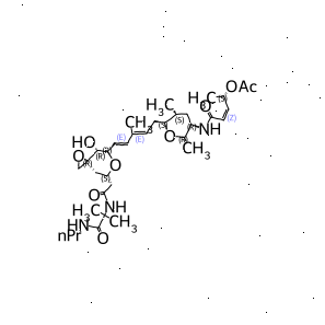 CCCNC(=O)C(C)(C)NC(=O)C[C@@H]1C[C@@]2(CO2)[C@H](O)[C@@H](/C=C/C(C)=C/C[C@@H]2O[C@H](C)[C@H](NC(=O)/C=C\[C@H](C)OC(C)=O)C[C@@H]2C)O1